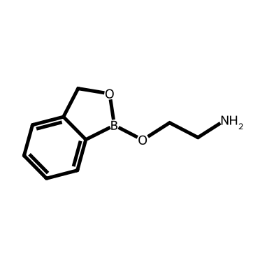 NCCOB1OCc2ccccc21